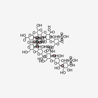 CO[C@H]1OC(CO)[C@@H](O[C@@H]2OC(C(=O)O)[C@@H](O[C@H]3OC(CO)[C@@H](O[C@@H]4OC(C(=O)O)[C@@H](O[C@H]5OC(CO)[C@@H](O[C@@H]6OC(C(=O)O)[C@@H](O[C@H]7OC(CO)[C@@H](O[C@@H]8OC(C(=O)O)[C@@H](O[C@H]9OC(CO)[C@@H](O)C(O)C9NS(=O)(=O)O)C(O)C8O)C(O)C7NS(=O)(=O)O)C(O)C6O)C(O)C5NS(=O)(=O)O)C(O)C4O)C(O)C3NS(=O)(=O)O)C(O)C2O)C(O)C1NS(=O)(=O)O